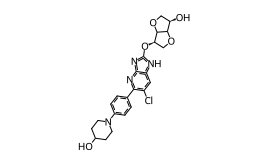 OC1CCN(c2ccc(-c3nc4nc(O[C@@H]5COC6C5OC[C@H]6O)[nH]c4cc3Cl)cc2)CC1